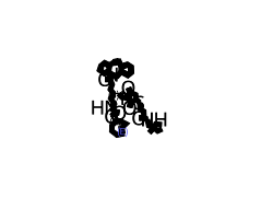 CCC(C)(CC)CNC(=O)CCSC1CC(=O)N(CC[C@H](CCNC(=O)O[C@H]2CC/C=C/CCC2)CCC(=O)N2Cc3ccccc3C#Cc3ccccc32)C1=O